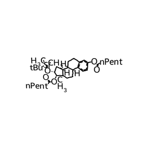 CCCCCC(=O)Oc1ccc2c(c1)CC[C@@H]1[C@@H]2CC[C@@]2(C)[C@H]1C[C@@H](O[Si](C)(C)C(C)(C)C)[C@@H]2OC(=O)CCCCC